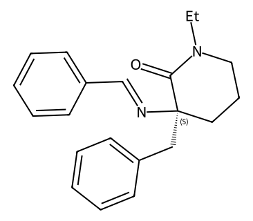 CCN1CCC[C@@](Cc2ccccc2)(N=Cc2ccccc2)C1=O